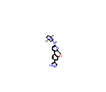 CN(c1ccc2c(n1)COc1cc(-c3cn[nH]c3)ccc1-2)[C@@H]1C[C@H]2CC[C@@H](C1)N2